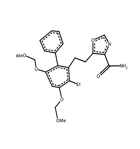 CCc1c(OCOC)cc(OCOC)c(-c2ccccc2)c1CCc1ocnc1C(N)=O